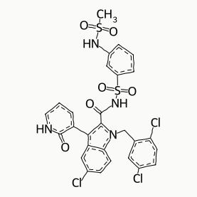 CS(=O)(=O)Nc1cccc(S(=O)(=O)NC(=O)c2c(-c3ccc[nH]c3=O)c3cc(Cl)ccc3n2Cc2cc(Cl)ccc2Cl)c1